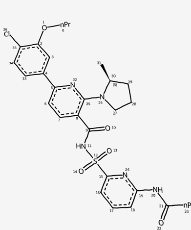 CCCOc1cc(-c2ccc(C(=O)NS(=O)(=O)c3cccc(NC(=O)CCC)n3)c(N3CCC[C@@H]3C)n2)ccc1Cl